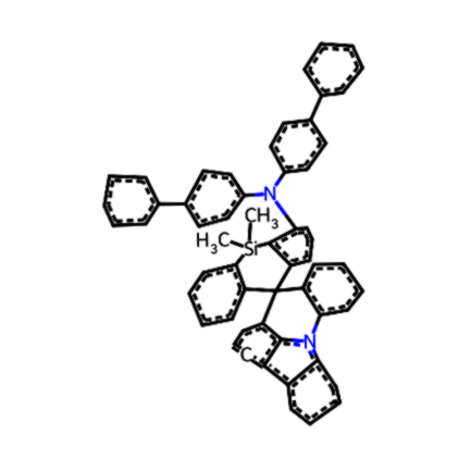 C[Si]1(C)c2ccccc2C2(c3ccccc3-n3c4ccccc4c4cccc2c43)c2cccc(N(c3ccc(-c4ccccc4)cc3)c3ccc(-c4ccccc4)cc3)c21